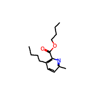 CCCCOC(=O)c1nc(C)ccc1CCCC